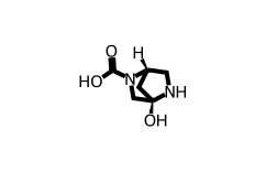 O=C(O)N1C[C@]2(O)C[C@H]1CN2